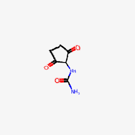 NC(=O)NC1C(=O)CCC1=O